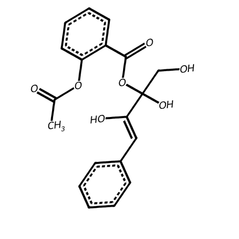 CC(=O)Oc1ccccc1C(=O)OC(O)(CO)C(O)=Cc1ccccc1